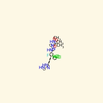 COC(=O)N[C@H](C(=O)N1CCCC1c1ncc(-c2cc(F)c(C#CC#Cc3cnc(C4CCCN4)[nH]3)c(-c3ccccc3)c2)[nH]1)C(C)C.Cl.Cl.Cl